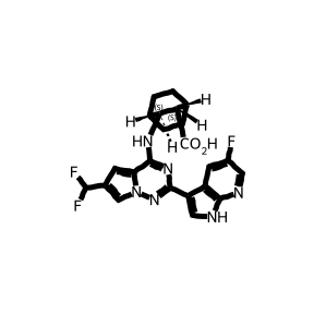 O=C(O)[C@H]1[C@H]2CC[C@H](CC2)[C@@H]1Nc1nc(-c2c[nH]c3ncc(F)cc23)nn2cc(C(F)F)cc12